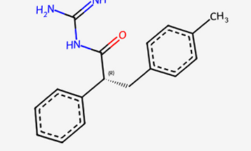 Cc1ccc(C[C@@H](C(=O)NC(=N)N)c2ccccc2)cc1